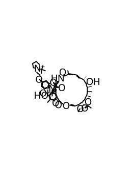 CO[C@H]1/C=C/O[C@@]2(C)Oc3c(C)c(O)c4c(=O)c(c5oc6cc(OCC[N+]7(C(C)(C)C)CCCC7)cc(O)c6nc-5c4c3C2=O)NC(=O)/C(C)=C\C=C\[C@H](C)[C@H](O)[C@@H](C)[C@@H](C)[C@@H](C)[C@H](OC(C)=O)[C@@H]1C